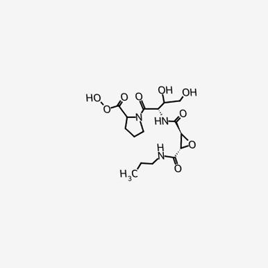 CCCNC(=O)[C@H]1O[C@@H]1C(=O)N[C@H](C(=O)N1CCCC1C(=O)OO)C(O)CO